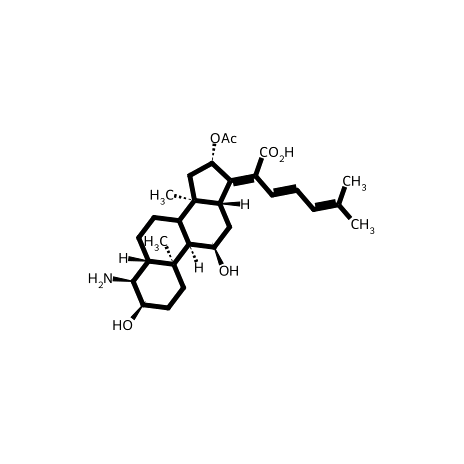 CC(=O)O[C@H]1C[C@]2(C)C3CC[C@H]4[C@H](N)[C@H](O)CC[C@]4(C)[C@@H]3[C@H](O)C[C@H]2/C1=C(\C=C\C=C(C)C)C(=O)O